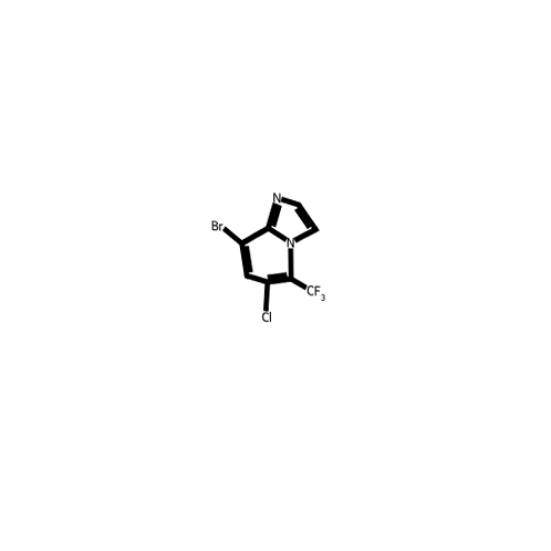 FC(F)(F)c1c(Cl)cc(Br)c2nccn12